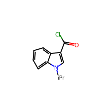 CC(C)n1cc(C(=O)Cl)c2ccccc21